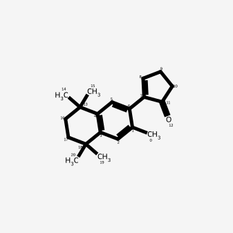 Cc1cc2c(cc1C1=CCCC1=O)C(C)(C)CCC2(C)C